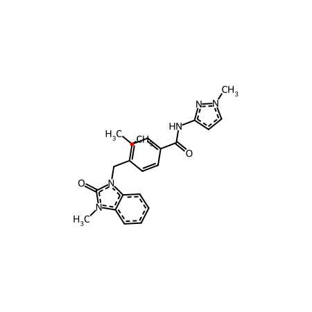 C\C=C(/C=C\C(=C/CC)C(=O)Nc1ccn(C)n1)Cn1c(=O)n(C)c2ccccc21